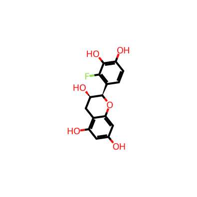 Oc1cc(O)c2c(c1)O[C@H](c1ccc(O)c(O)c1F)[C@H](O)C2